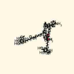 CC(=O)N[C@H]1[C@H](OCCCCC(=O)NCCOCCOCO[C@@H]2C[C@@H](COP(=O)(O)C3(C)[C@@H](C4CC4)O[C@@H](n4cnc5c(N)ncnc54)[C@@H]3OCOCCOCCNC(=O)CCCCO[C@@H]3O[C@H](CO)[C@H](O)[C@H](O)[C@H]3NC(C)=O)O[C@H]2n2cnc3c(N)ncnc32)O[C@H](CO)[C@H](O)[C@@H]1O